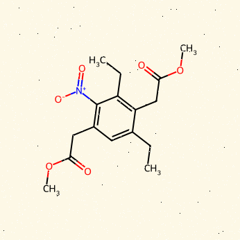 CCc1cc(CC(=O)OC)c([N+](=O)[O-])c(CC)c1CC(=O)OC